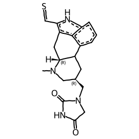 CN1C[C@H](CN2CC(=O)NC2=O)CC2c3cccc4[nH]c(C=S)c(c34)C[C@H]21